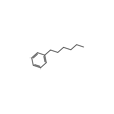 CCCCCCc1c[c]c[c]c1